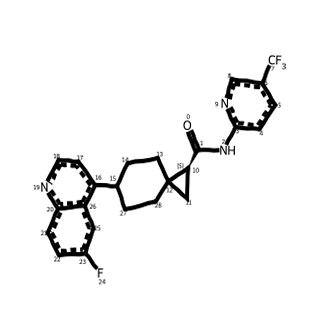 O=C(Nc1ccc(C(F)(F)F)cn1)[C@H]1CC12CCC(c1ccnc3ccc(F)cc13)CC2